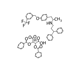 CC(Cc1ccc(OCc2cccc(C(F)(F)F)c2)cc1)NCCC(c1ccccc1)c1ccccc1.O=C(OC(C(=O)O)C(OC(=O)c1ccccc1)C(=O)O)c1ccccc1